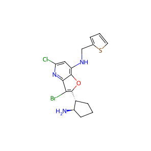 N[C@@H]1CCC[C@H]1c1oc2c(NCc3cccs3)cc(Cl)nc2c1Br